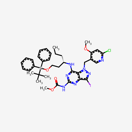 CCC[C@@H](CCO[Si](c1ccccc1)(c1ccccc1)C(C)(C)C)Nc1nc(NC(=O)OC)nc2c(I)nn(Cc3cnc(Cl)cc3OC)c12